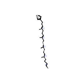 C/C=C/CC/C(C)=C/CC/C(C)=C/CC/C(C)=C/CC/C(C)=C/CCc1ccsc1